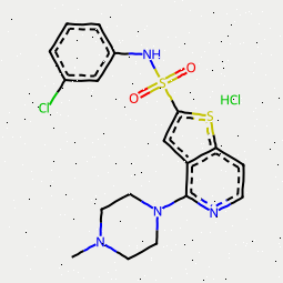 CN1CCN(c2nccc3sc(S(=O)(=O)Nc4cccc(Cl)c4)cc23)CC1.Cl